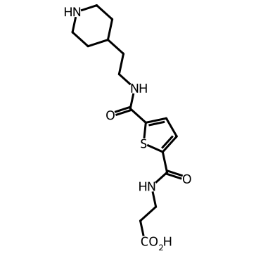 O=C(O)CCNC(=O)c1ccc(C(=O)NCCC2CCNCC2)s1